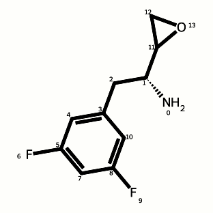 N[C@H](Cc1cc(F)cc(F)c1)C1CO1